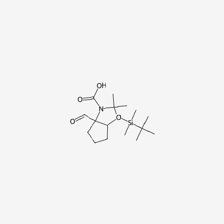 CC(C)(C)N(C(=O)O)C1(C=O)CCCC1O[Si](C)(C)C(C)(C)C